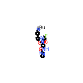 CN(Cc1ccc(-c2cccc(-n3c(=O)n(C4CCC(NC(=O)c5cn6c(n5)CCCC6)CC4)c(=O)c4cc(F)cnc43)c2)cc1)C(C)(C)C